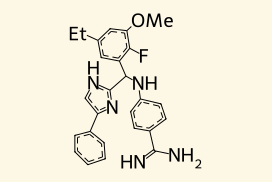 CCc1cc(OC)c(F)c(C(Nc2ccc(C(=N)N)cc2)c2nc(-c3ccccc3)c[nH]2)c1